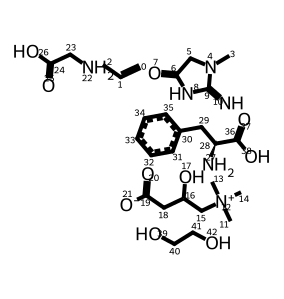 C=CC.CN1CC(=O)NC1=N.C[N+](C)(C)CC(O)CC(=O)[O-].NCC(=O)O.N[C@@H](Cc1ccccc1)C(=O)O.OCCO